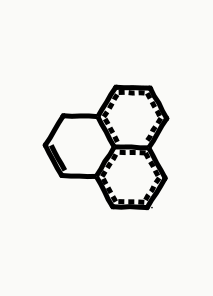 [c]1cc2c3c(cccc3c1)CC=C2